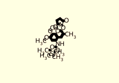 COc1cc(C=C(C)C(=O)ON2C(=O)CCC2=O)c(NC(=O)OC(C)[Si](C)(C)C)cc1OC